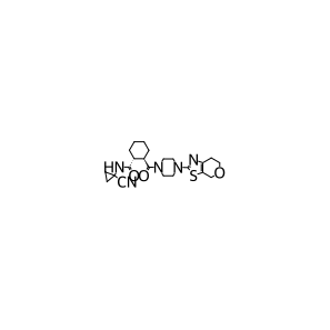 N#CC1(NC(=O)[C@@H]2CCCC[C@H]2C(=O)N2CCN(c3nc4c(s3)COCC4)CC2)CC1